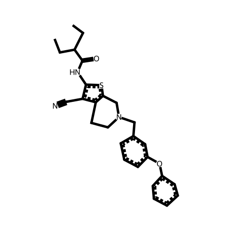 CCC(CC)C(=O)Nc1sc2c(c1C#N)CCN(Cc1cccc(Oc3ccccc3)c1)C2